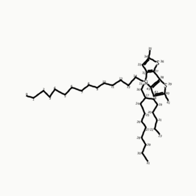 CCCCCCCCCCCCCCC[Si]1(CC(CCCCCC)CCCCCCCC)c2cc(C)sc2-c2sc(C)cc21